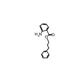 Nc1ccccc1C(=O)OCCCc1ccccc1